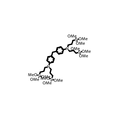 CO[Si](CCCN(CCC[Si](OC)(OC)OC)c1ccc(Cc2ccc(N(CCC[Si](OC)(OC)OC)CCC[Si](OC)(OC)OC)cc2)cc1)(OC)OC